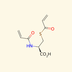 C=CC(=O)N[C@@H](CSC(=O)C=C)C(=O)O